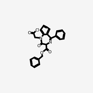 O=C(Cl)CN1C(=O)C(C(=O)OCc2ccccc2)N=C(c2ccccc2)c2ccccc21